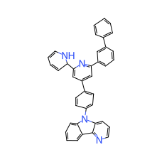 C1=CNC(c2cc(-c3ccc(-n4c5ccccc5c5ncccc54)cc3)cc(-c3cccc(-c4ccccc4)c3)n2)C=C1